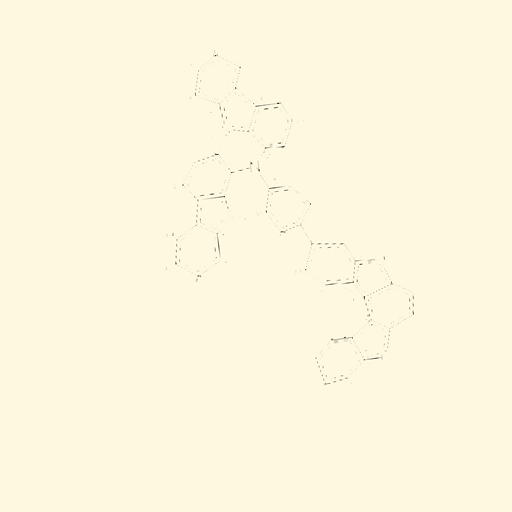 c1ccc2c(c1)oc1ccc3oc4cc(-c5ccc(N(c6cccc7c6sc6ccccc67)c6cccc7c6sc6ccccc67)cc5)ccc4c3c12